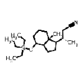 CC[Si](CC)(CC)OC1CCC[C@@]2(C)C1CCC2[C@@H](C)CC#N